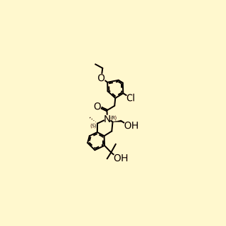 CCOc1ccc(Cl)c(CC(=O)N2[C@@H](CO)Cc3c(cccc3C(C)(C)O)[C@@H]2C)c1